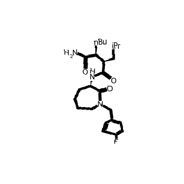 CCCC[C@H](C(N)=O)[C@@H](CC(C)C)C(=O)N[C@H]1CCCCN(Cc2ccc(F)cc2)C1=O